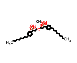 CCCCCCCCCc1ccc(C(CCOCCC(c2ccc(CCCCCCCCC)cc2)S(=O)(=O)O)S(=O)(=O)O)cc1.[KH]